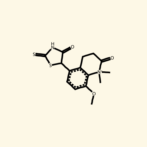 COc1ccc(C2SC(=S)NC2=O)c2c1[N+](C)(C)C(=O)CC2